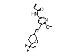 C=CC(=O)Nc1cnc(OC)c(/C=C/C2CCC(C(F)(F)F)OC2)c1